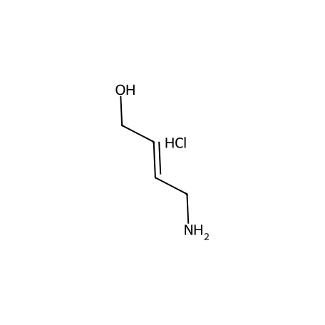 Cl.NCC=CCO